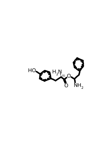 NC(Cc1ccccc1)OC(=O)[C@@H](N)Cc1ccc(O)cc1